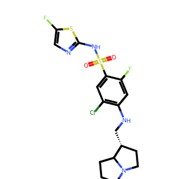 O=S(=O)(Nc1ncc(F)s1)c1cc(Cl)c(NC[C@@H]2CCN3CCCC23)cc1F